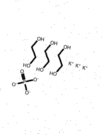 O=P([O-])([O-])[O-].OCCO.OCCO.OCCO.[K+].[K+].[K+]